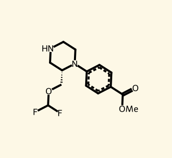 COC(=O)c1ccc(N2CCNC[C@H]2COC(F)F)cc1